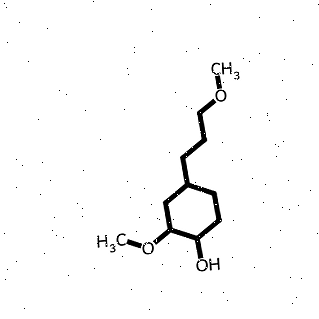 COCCCC1CCC(O)C(OC)C1